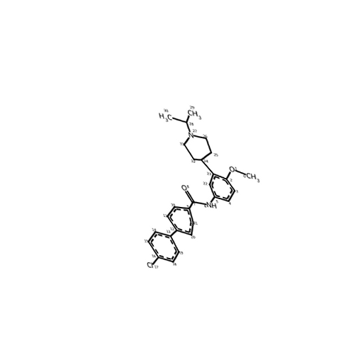 COc1ccc(NC(=O)c2ccc(-c3ccc(Cl)cc3)cc2)cc1C1CCN(C(C)C)CC1